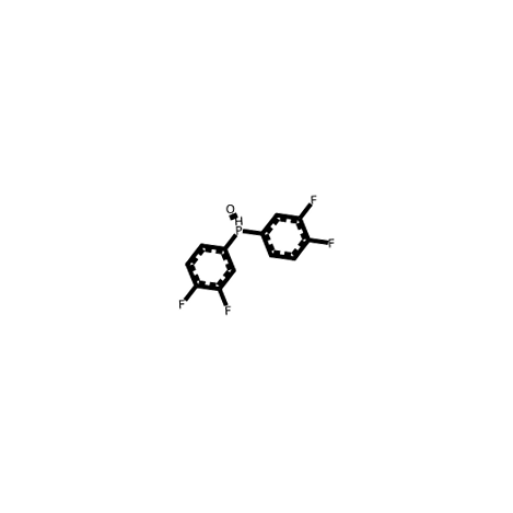 O=[PH](c1ccc(F)c(F)c1)c1ccc(F)c(F)c1